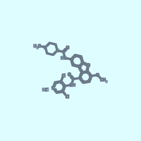 COc1ccc(C(=O)Nc2c(Cl)cncc2Cl)c2c1oc1ccc(NC(=O)N3CCN(C)CC3)cc12.Cl